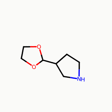 C1CC(C2OCCO2)CN1